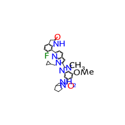 COc1cc(C(=O)N2CC3CCC2C3N)cc2nc(-c3cc4ccc(-c5c(F)ccc6c5NC(=O)C6)nc4n3CC3CC3)n(C)c12